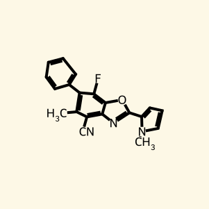 Cc1c(-c2ccccc2)c(F)c2oc(-c3cccn3C)nc2c1C#N